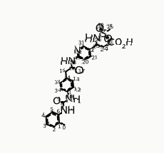 Cc1ccccc1NC(=O)Nc1ccc(CC(=O)Nc2ccc(C(CC(=O)O)NS(C)(=O)=O)cn2)cc1